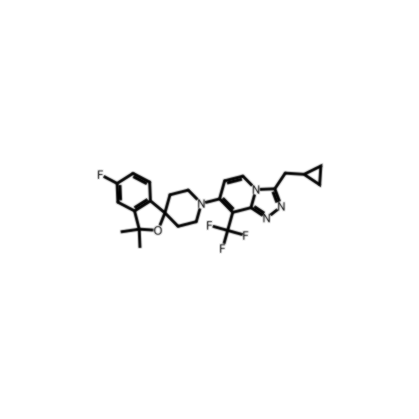 CC1(C)OC2(CCN(c3ccn4c(CC5CC5)nnc4c3C(F)(F)F)CC2)c2ccc(F)cc21